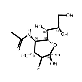 CC(=O)N[C@H]1[C@H]([C@H](O)[C@H](O)CO)O[C@@](C)(O)C(F)[C@@H]1O